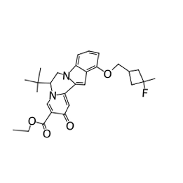 CCOC(=O)c1cn2c(cc1=O)-c1cc3c(OCC4CC(C)(F)C4)cccc3n1CC2C(C)(C)C